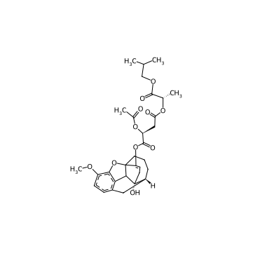 COc1ccc2c3c1OC14CCC[C@H](C2)[C@](O)(CC=C1OC(=O)[C@H](CC(=O)O[C@@H](C)C(=O)OCC(C)C)OC(C)=O)C34